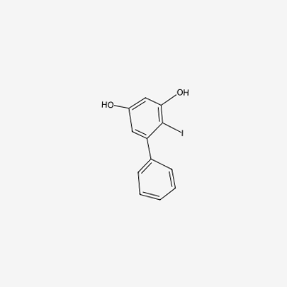 Oc1cc(O)c(I)c(-c2ccccc2)c1